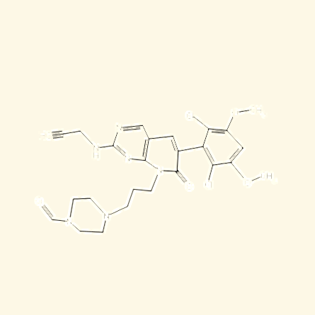 C#CCNc1ncc2cc(-c3c(Cl)c(OC)cc(OC)c3Cl)c(=O)n(CCCN3CCN(C=O)CC3)c2n1